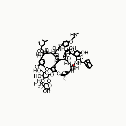 CC[C@@H](CC(C)C)C(=O)N[C@H]1C(=O)C[C@@H](CC(=O)NSc2ccc(OCCNC)cc2)C(=O)N[C@H]2C(=O)C[C@@H]3C(=O)N[C@@H](C(=O)N[C@H](C(=O)CC4C5CC6CC(C5)CC4C6)c4cc(O)cc(O)c4-c4cc3ccc4O)[C@@H](O)c3ccc(c(Cl)c3)Oc3cc2cc(c3O[C@@H]2O[C@H](CO)[C@H](O)[C@H](O)[C@@H]2O[C@H]2C[C@](C)(N)[C@H](O)[C@H](C)O2)Oc2ccc(cc2Cl)[C@H]1O